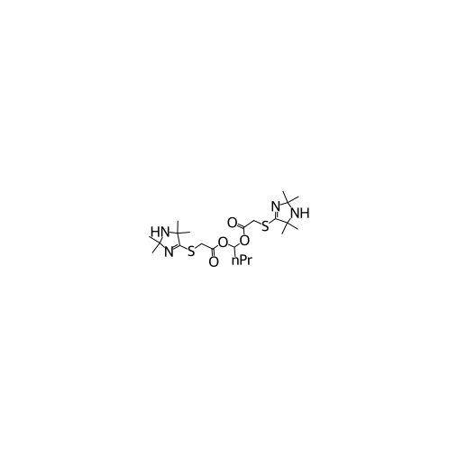 CCCC(OC(=O)CSC1=NC(C)(C)NC1(C)C)OC(=O)CSC1=NC(C)(C)NC1(C)C